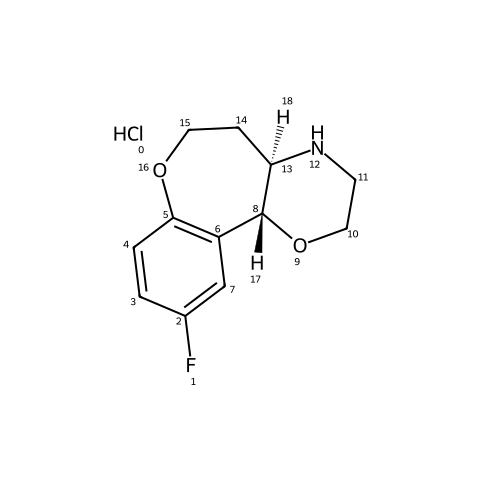 Cl.Fc1ccc2c(c1)[C@H]1OCCN[C@@H]1CCO2